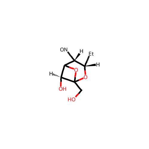 CC[C@@H]1OC2(CO)OC([C@@H]1N=O)[C@@H]2O